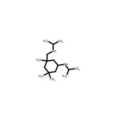 CC(C)NCC1(C)CC(NC(C)C)CC(C)(C)C1